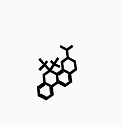 CC(C)C1CCc2ccc3c(c2C1)C(C(C)(C)C)(C(C)(C)C)Cc1ccccc1-3